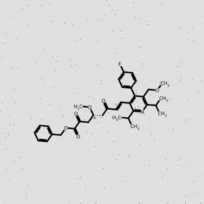 COCc1c(C(C)C)nc(C(C)C)c(/C=C/C(=O)C[C@H](CC(=O)C(=O)OCc2ccccc2)OC)c1-c1ccc(F)cc1